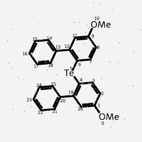 COc1ccc([Te]c2ccc(OC)cc2-c2ccccc2)c(-c2ccccc2)c1